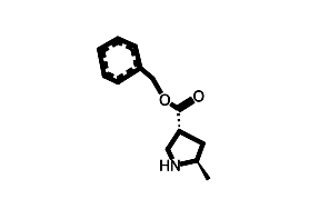 C[C@@H]1C[C@@H](C(=O)OCc2ccccc2)CN1